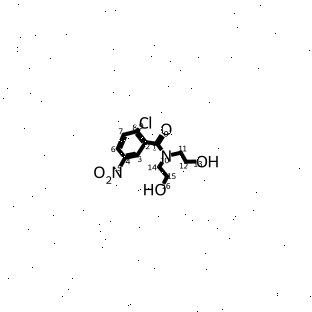 O=C(c1cc([N+](=O)[O-])ccc1Cl)N(CCO)CCO